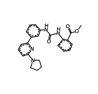 COC(=O)c1ccccc1NC(=O)Nc1cccc(-c2cccc(N3CCCC3)n2)c1